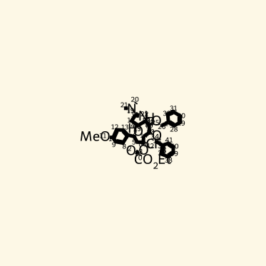 CCOC(=O)C(=O)O[C@@](CCc1ccc(OC)cc1)(C1O[C@@H]2CC(N(C)C)=N[C@@H]2[C@@H](OCc2ccccc2)[C@@H]1OCc1ccccc1)C(F)(F)F